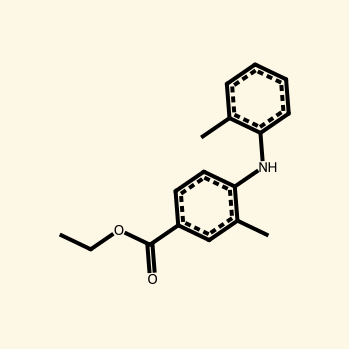 CCOC(=O)c1ccc(Nc2ccccc2C)c(C)c1